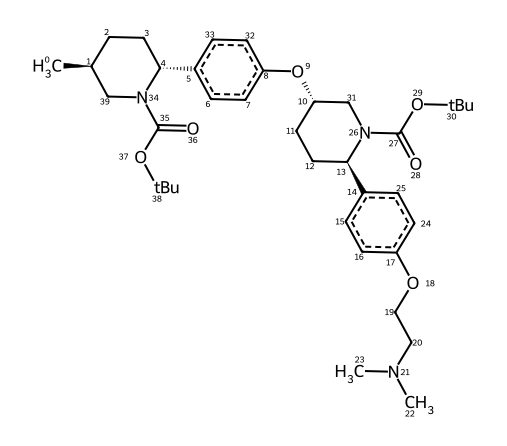 C[C@H]1CC[C@H](c2ccc(O[C@H]3CC[C@H](c4ccc(OCCN(C)C)cc4)N(C(=O)OC(C)(C)C)C3)cc2)N(C(=O)OC(C)(C)C)C1